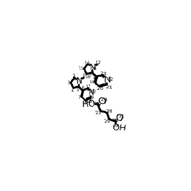 CN1CCCC1c1cccnc1.CN1CCCC1c1cccnc1.O=C(O)CCCC(=O)O